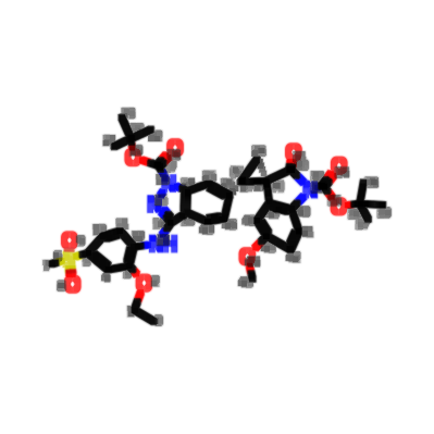 CCOc1cc(S(C)(=O)=O)ccc1Nc1nn(C(=O)OC(C)(C)C)c2cc([C@@H]3C[C@@]34C(=O)N(C(=O)OC(C)(C)C)c3ccc(OC)cc34)ccc12